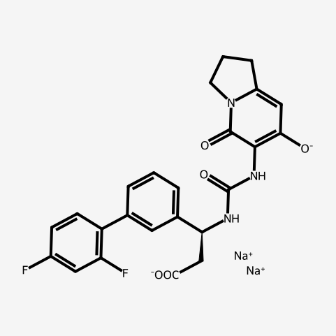 O=C([O-])C[C@H](NC(=O)Nc1c([O-])cc2n(c1=O)CCC2)c1cccc(-c2ccc(F)cc2F)c1.[Na+].[Na+]